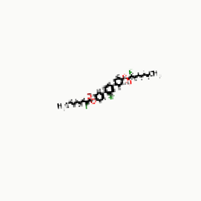 CCCCCC[C@H](F)C(=O)O[C@H]1CC[C@H](c2ccc([C@H]3CC[C@H](OC(=O)[C@@H](F)CCCCCC)CC3)c(Br)c2)CC1